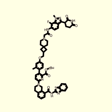 Cc1cc(OCC2CC3(CCN(CC(=O)Nc4ccc5c(C6CCC(=O)NC6=O)nn(C)c5c4F)CC3)C2)ccc1-c1ccc(N2CCc3cccc(C(=O)Nc4nc5ccccc5s4)c3C2)nc1C(=O)OC(C)(C)C